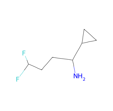 NC(CCC(F)F)C1CC1